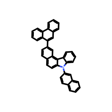 c1ccc2cc(-n3c4ccccc4c4c5cc(-c6cc7ccccc7c7ccccc67)ccc5ccc43)ccc2c1